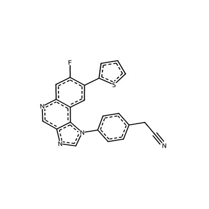 N#CCc1ccc(-n2cnc3cnc4cc(F)c(-c5cccs5)cc4c32)cc1